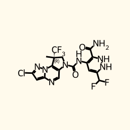 C[C@@]1(C(F)(F)F)CN(C(=O)NC2=C(C(N)=O)NNC(C(F)F)=C2)c2cnc3cc(Cl)nn3c21